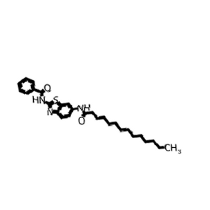 CCCCCCCCCCCCCC(=O)Nc1ccc2nc(NC(=O)c3ccccc3)sc2c1